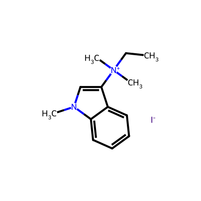 CC[N+](C)(C)c1cn(C)c2ccccc12.[I-]